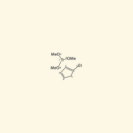 CCC1=CC=CC1.C[O][Ti]([O]C)[O]C